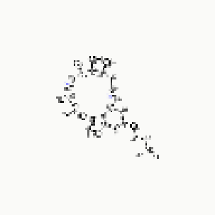 C[C@@H]1OC(=O)c2c(O)cc(OCCN(C)C)cc2/C=C/C[C@H](O)[C@H](O)C(=O)/C=C\[C@@H]1C